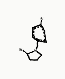 CC(=O)c1ccc(N2CCCC2Br)cc1